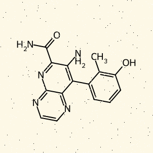 Cc1c(O)cccc1-c1c(N)c(C(N)=O)nc2nccnc12